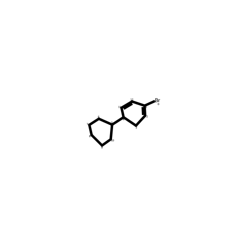 BrC1=CCC(C2CCCCC2)C=C1